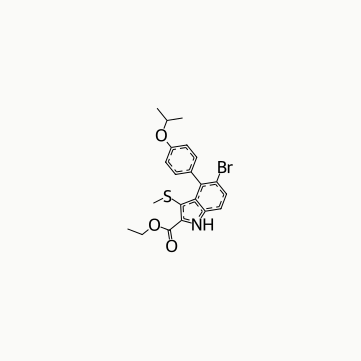 CCOC(=O)c1[nH]c2ccc(Br)c(-c3ccc(OC(C)C)cc3)c2c1SC